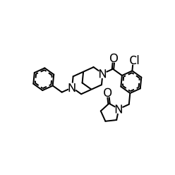 O=C1CCCN1Cc1ccc(Cl)c(C(=O)N2CC3CC(CN(Cc4ccccc4)C3)C2)c1